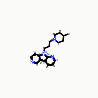 CC1CCN(CCCn2c3ccncc3c3cccnc32)CC1